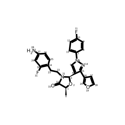 C[C@@H]1O[C@H](c2cn(-c3ccc(F)cc3)nc2-c2ccoc2)N(CCc2ccc(N)cc2F)C1=O